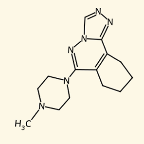 CN1CCN(c2nn3cnnc3c3c2CCCC3)CC1